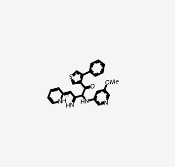 COc1cncc(NC(C(=N)/C=C2/C=CC=CN2)C(=O)c2cscc2-c2ccccc2)c1